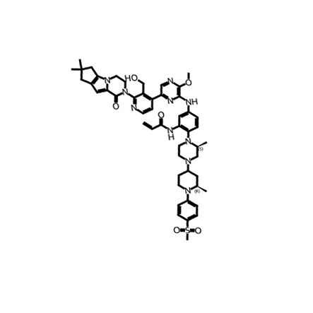 C=CC(=O)Nc1cc(Nc2nc(-c3ccnc(N4CCn5c(cc6c5CC(C)(C)C6)C4=O)c3CO)cnc2OC)ccc1N1CCN(C2CCN(c3ccc(S(C)(=O)=O)cc3)[C@H](C)C2)C[C@@H]1C